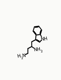 NCCC(N)Cc1c[nH]c2ccccc12